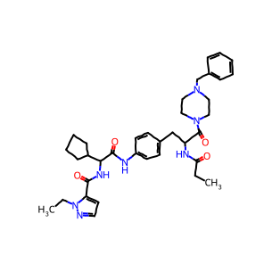 CCC(=O)NC(Cc1ccc(NC(=O)C(NC(=O)c2ccnn2CC)C2CCCC2)cc1)C(=O)N1CCN(Cc2ccccc2)CC1